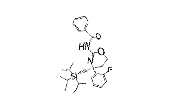 CC(C)[Si](C#C[C@@]1(c2ccccc2F)CCOC(NC(=O)c2ccccc2)=N1)(C(C)C)C(C)C